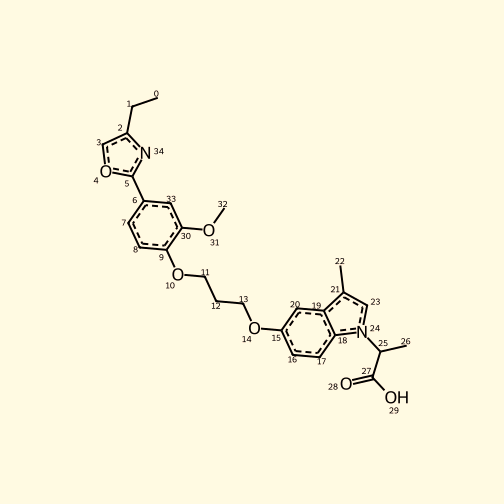 CCc1coc(-c2ccc(OCCCOc3ccc4c(c3)c(C)cn4C(C)C(=O)O)c(OC)c2)n1